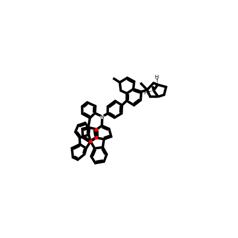 CC1C=Cc2c(C3(C)CC4CC[C@H](C3)[C@@H]4C)ccc(-c3ccc(N(c4ccc5c(c4)C4(c6ccccc6-c6ccccc64)c4ccccc4-5)c4ccccc4-c4ccccc4)cc3)c2C1